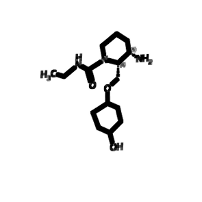 CCNC(=O)N1CCC[C@H](N)[C@@H]1COC1CCC(O)CC1